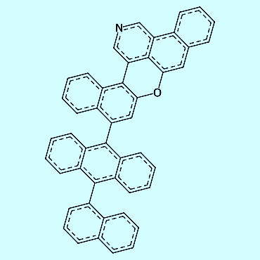 c1ccc2c(-c3c4ccccc4c(-c4cc5c(c6ccccc46)-c4cncc6c4c(cc4ccccc46)O5)c4ccccc34)cccc2c1